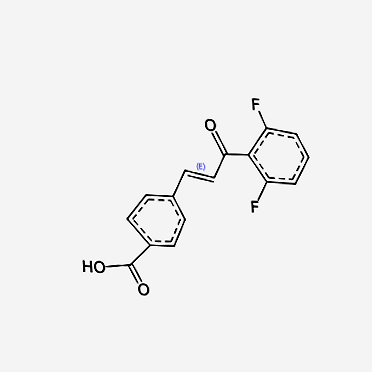 O=C(O)c1ccc(/C=C/C(=O)c2c(F)cccc2F)cc1